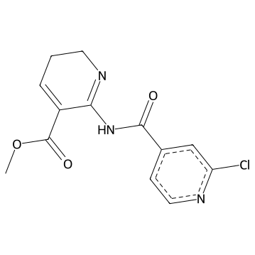 COC(=O)C1=CCCN=C1NC(=O)c1ccnc(Cl)c1